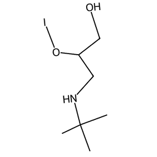 CC(C)(C)NCC(CO)OI